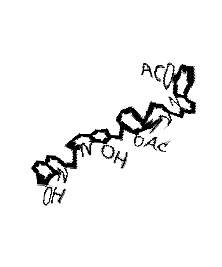 CC(=O)Oc1cccc2ccc(Cc3ccc4ccc(Cc5ccc6ccc(Cc7ccc8cccc(O)c8n7)nc6c5O)c(OC(C)=O)c4n3)nc12